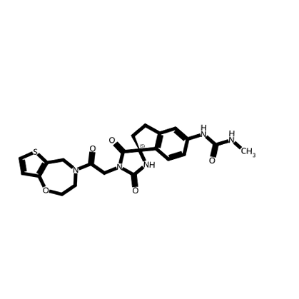 CNC(=O)Nc1ccc2c(c1)CC[C@]21NC(=O)N(CC(=O)N2CCOc3ccsc3C2)C1=O